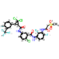 CS(=O)(=O)CC(=O)Nc1c(F)ccc(NC(=O)c2cc(NC(=O)C3C(c4ccc(F)c(C(F)(F)F)c4)C3(Cl)Cl)ccc2Cl)c1F